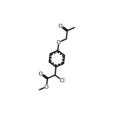 COC(=O)C(Cl)c1ccc(OCC(C)=O)cc1